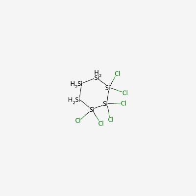 Cl[Si]1(Cl)[SiH2][SiH2][SiH2][Si](Cl)(Cl)[Si]1(Cl)Cl